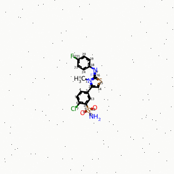 Cn1c(-c2ccc(Cl)c(S(N)(=O)=O)c2)cs/c1=N/c1ccc(F)cc1